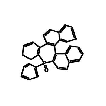 O=P1(c2ccccc2)C2=C(C=CCC2)c2ccc3ccccc3c2-c2c1ccc1ccccc21